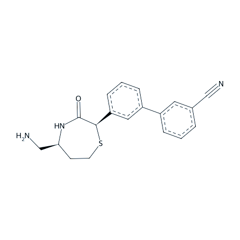 N#Cc1cccc(-c2cccc([C@H]3SCC[C@@H](CN)NC3=O)c2)c1